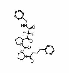 O=C([C@H]1CCCN1C(=O)CCCc1ccccc1)N1CCCC1C(=O)C(F)(F)C(=O)NCc1ccccc1